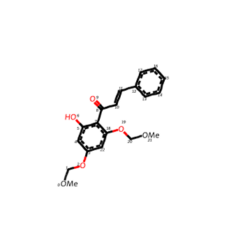 COCOc1cc(O)c(C(=O)C=Cc2ccccc2)c(OCOC)c1